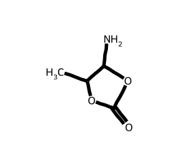 CC1OC(=O)OC1N